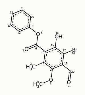 COc1c(C)c(C(=O)Oc2ccccc2)c(O)c(Br)c1C=O